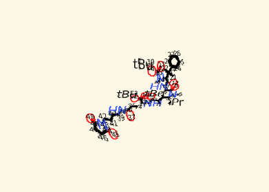 C/C(=C\[C@H](C(C)C)N(C)C(=O)[C@@H](NC(=O)[C@@H](N(C)C(=O)OC(C)(C)C)C(C)(C)c1ccccc1)C(C)(C)C)C(=O)N[C@H](CCC(=O)NCCCCN1C(=O)C=CC1=O)C(=O)OC(C)(C)C